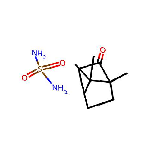 CC12CCC(CC1=O)C2(C)C.NS(N)(=O)=O